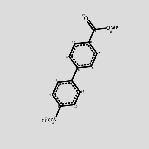 CCCCCc1ccc(-c2ccc(C(=O)OC)cc2)cc1